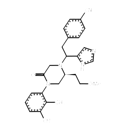 COCC[C@H]1CN(c2cccc(C)c2C)C(=O)CN1C(Cc1ccc(C#N)cc1)c1cnc[nH]1